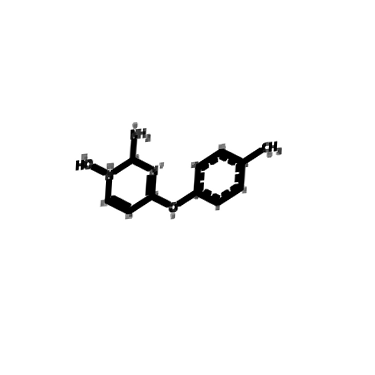 Cc1ccc(OC2=NC(N)N(O)C=C2)cc1